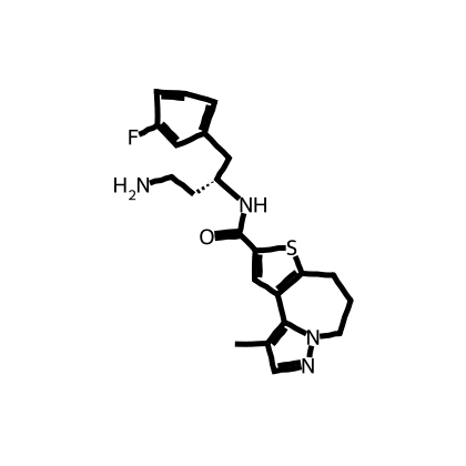 Cc1cnn2c1-c1cc(C(=O)N[C@H](CCN)Cc3cccc(F)c3)sc1CCC2